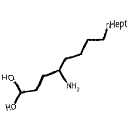 CCCCCCCCCCCC(N)CCC(O)O